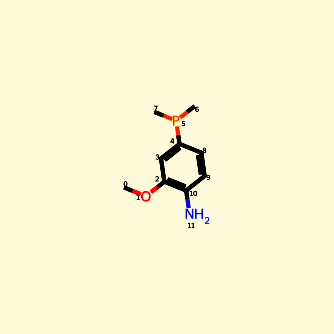 COc1cc(P(C)C)ccc1N